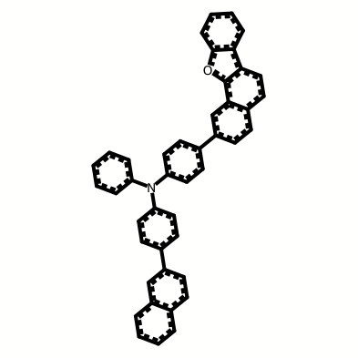 c1ccc(N(c2ccc(-c3ccc4ccccc4c3)cc2)c2ccc(-c3ccc4ccc5c6ccccc6oc5c4c3)cc2)cc1